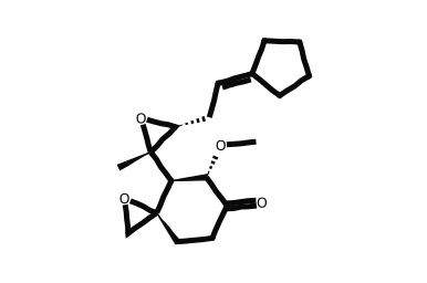 CO[C@@H]1C(=O)CC[C@]2(CO2)[C@H]1[C@]1(C)O[C@@H]1CC=C1CCCC1